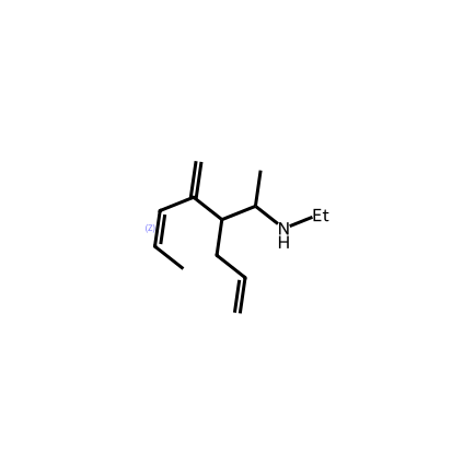 C=CCC(C(=C)/C=C\C)C(C)NCC